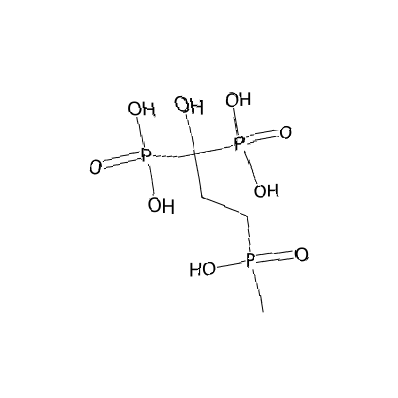 CP(=O)(O)CCC(O)(P(=O)(O)O)P(=O)(O)O